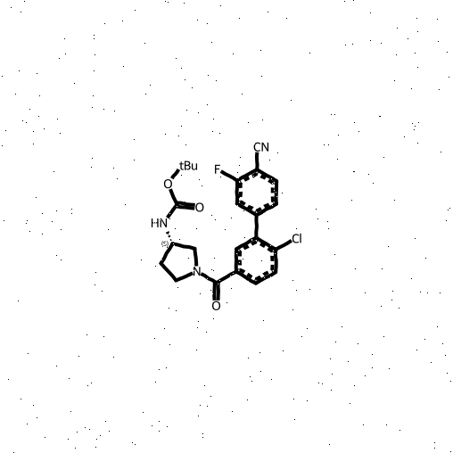 CC(C)(C)OC(=O)N[C@H]1CCN(C(=O)c2ccc(Cl)c(-c3ccc(C#N)c(F)c3)c2)C1